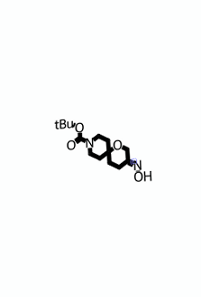 CC(C)(C)OC(=O)N1CCC2(CC/C(=N\O)CO2)CC1